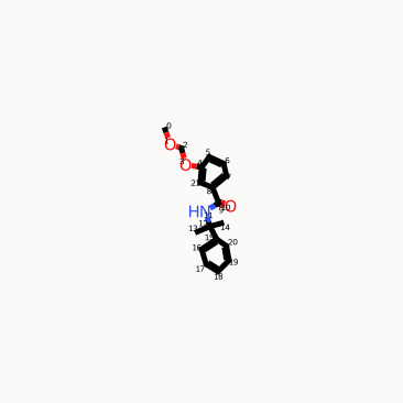 COCOc1cccc(C(=O)NC(C)(C)c2ccccc2)c1